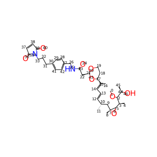 CO[C@H]([C@@H](C)[C@H]1O[C@]1(C)C[C@H](C)/C=C/C=C(\C)[C@@H]1CCO[C@H](CC(=O)NCc2ccc(CCCN3C(=O)C=CC3=O)cc2)O1)[C@@H](C)O